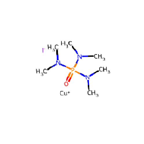 CN(C)P(=O)(N(C)C)N(C)C.[Cu+].[I-]